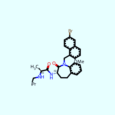 COc1ccc2cc(Br)ccc2c1CN1C(=O)[C@@H](NC(=O)[C@H](C)NCC(C)C)CCc2ccccc21